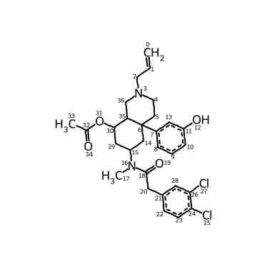 C=CCN1CCC2(c3cccc(O)c3)CC(N(C)C(=O)Cc3ccc(Cl)c(Cl)c3)CC(OC(C)=O)C2C1